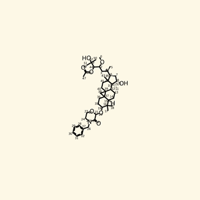 COC(C[C@@H](C)[C@H]1C[C@H](O)[C@@]2(C)C3CC[C@H]4C(C)(C)C(OC5OCCN(Cc6ccccc6)C5=O)CCC45CC35CCC12C)C(OC(C)=O)C(C)(C)O